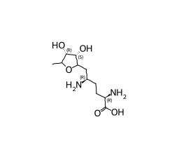 CC1OC(C[C@H](N)CC[C@@H](N)C(=O)O)[C@@H](O)[C@H]1O